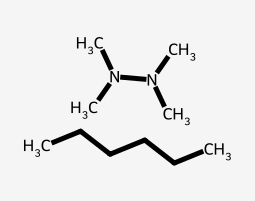 CCCCCC.CN(C)N(C)C